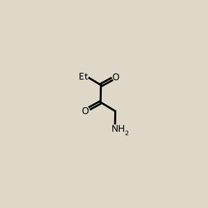 CCC(=O)C(=O)CN